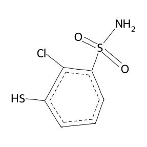 NS(=O)(=O)c1cccc(S)c1Cl